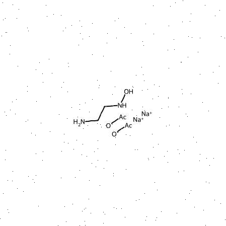 CC(=O)[O-].CC(=O)[O-].NCCNO.[Na+].[Na+]